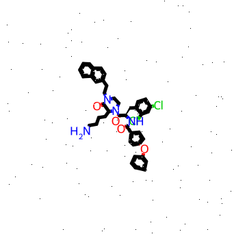 NCCCCC1C(=O)N(CCc2ccc3ccccc3c2)CCN1C(=O)[C@@H](Cc1ccc(Cl)cc1Cl)NC(=O)c1ccc(Oc2ccccc2)cc1